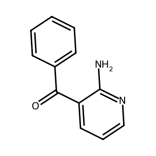 Nc1ncccc1C(=O)c1ccccc1